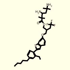 CCCCCc1ccc(-c2cc3ccc(OCC(COC(=O)C(C)(C)C(N)CC(C)(C)N)CC(F)(F)F)cc3s2)c(CC)c1